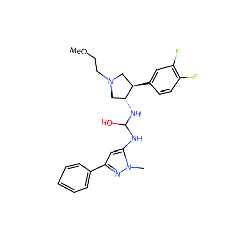 COCCN1C[C@@H](NC(O)Nc2cc(-c3ccccc3)nn2C)[C@H](c2ccc(F)c(F)c2)C1